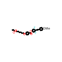 C=CC(=O)OCCCCCCOc1ccc(C(=O)Oc2cc(F)c(C#Cc3ccc(OC)cc3)c(F)c2)cc1